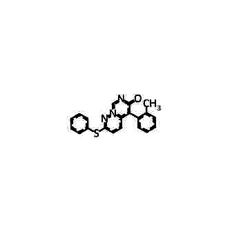 Cc1ccccc1-c1c(=O)ncn2nc(Sc3ccccc3)ccc12